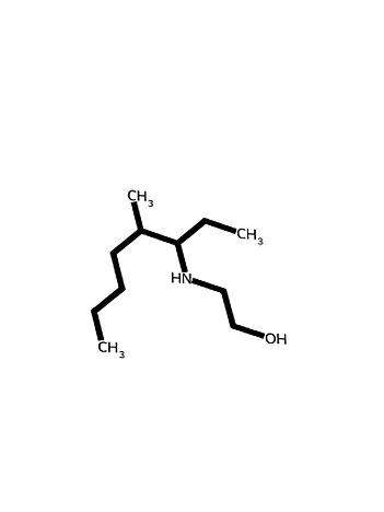 CCCCC(C)C(CC)NCCO